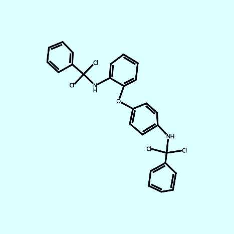 ClC(Cl)(Nc1ccc(Oc2ccccc2NC(Cl)(Cl)c2ccccc2)cc1)c1ccccc1